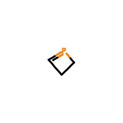 C1=PCC1